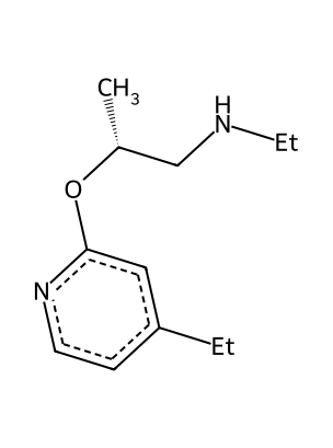 CCNC[C@@H](C)Oc1cc(CC)ccn1